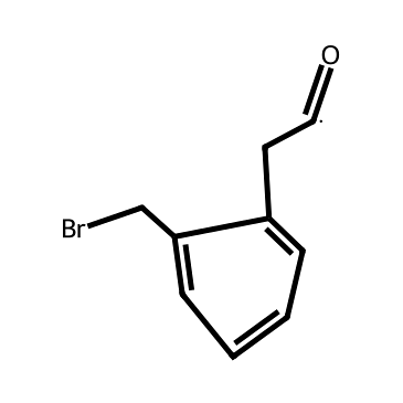 O=[C]Cc1ccccc1CBr